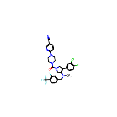 CN(Cc1ccc(C(F)(F)F)c(F)c1)C1CN(C(=O)N2CCN(c3ccc(C#N)cn3)CC2)CC1c1ccc(Cl)c(Cl)c1